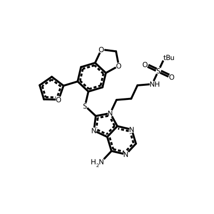 CC(C)(C)S(=O)(=O)NCCCn1c(Sc2cc3c(cc2-c2ccco2)OCO3)nc2c(N)ncnc21